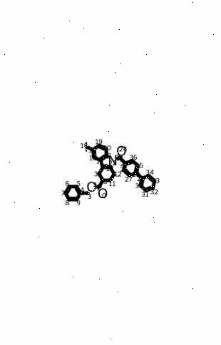 O=C(OCc1ccccc1)C1CCc2c(c3cc(I)ccc3n2C(=O)c2ccc(-c3ccccc3)cc2)C1